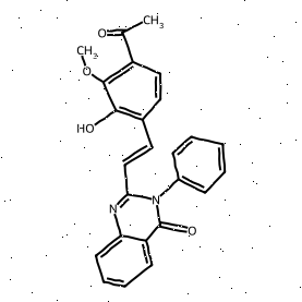 COc1c(C(C)=O)ccc(C=Cc2nc3ccccc3c(=O)n2-c2ccccc2)c1O